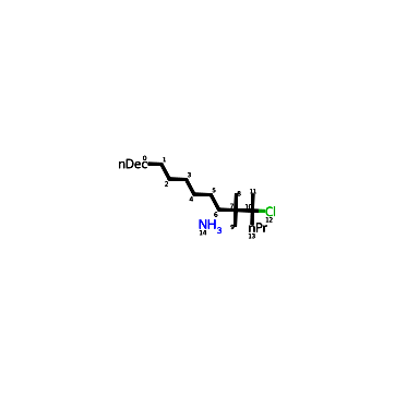 CCCCCCCCCCCCCCCCC(C)(C)C(C)(Cl)CCC.N